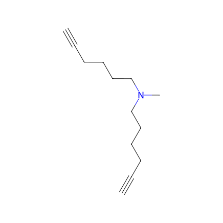 C#CCCCCN(C)CCCCC#C